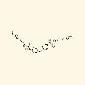 C=COCCCCOC(=O)Nc1ccc(Cc2ccc(NC(=O)OCCCCOC=C)cc2)cc1